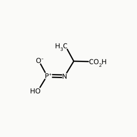 CC(/N=[P+](\[O-])O)C(=O)O